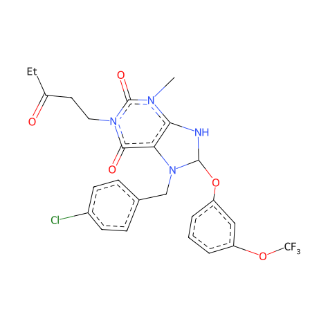 CCC(=O)CCn1c(=O)c2c(n(C)c1=O)NC(Oc1cccc(OC(F)(F)F)c1)N2Cc1ccc(Cl)cc1